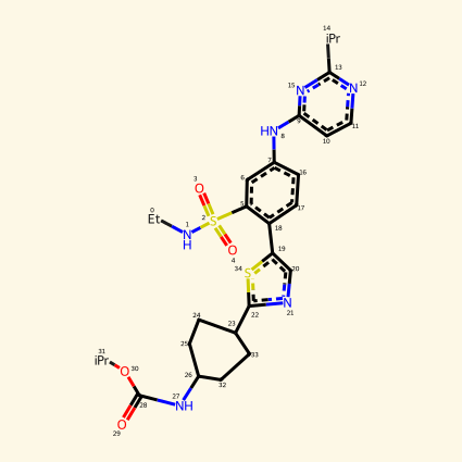 CCNS(=O)(=O)c1cc(Nc2ccnc(C(C)C)n2)ccc1-c1cnc(C2CCC(NC(=O)OC(C)C)CC2)s1